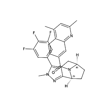 Cc1cc(C)c2ccc(C(=O)N3[C@@H]4CC[C@H]3c3nn(C)c(-c5cc(F)c(F)c(F)c5)c3C4)cc2n1